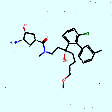 COCCCC[C@](O)(CCN(C)C(=O)[C@H]1C[C@@H](N)[C@@H](O)C1)c1cccc(Cl)c1-c1cccc(C)c1